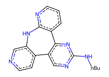 CCCCNc1ncc2c(n1)-c1cccnc1Nc1cnccc1-2